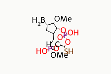 B[C@H]1C[C@H](CCP(=O)(O)OC)[C@@H](OP(=O)(O)O[C@H](C)S)[C@H]1OC